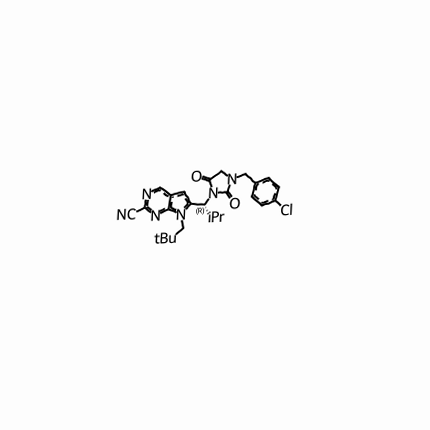 CC(C)[C@H](c1cc2cnc(C#N)nc2n1CC(C)(C)C)N1C(=O)CN(Cc2ccc(Cl)cc2)C1=O